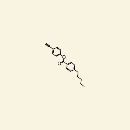 C#Cc1ccc(OC(=O)c2ccc(CCCCC)cc2)cc1